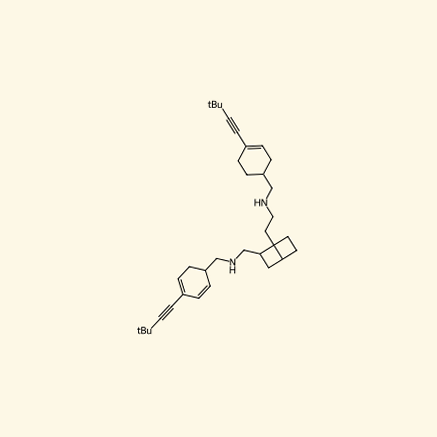 CC(C)(C)C#CC1=CCC(CNCC2CC3CCC32CCNCC2CC=C(C#CC(C)(C)C)CC2)C=C1